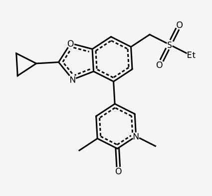 CCS(=O)(=O)Cc1cc(-c2cc(C)c(=O)n(C)c2)c2nc(C3CC3)oc2c1